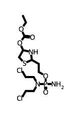 CCOC(=O)OC1CSC(CCOP(N)(=O)N(CCCl)CCCl)N1